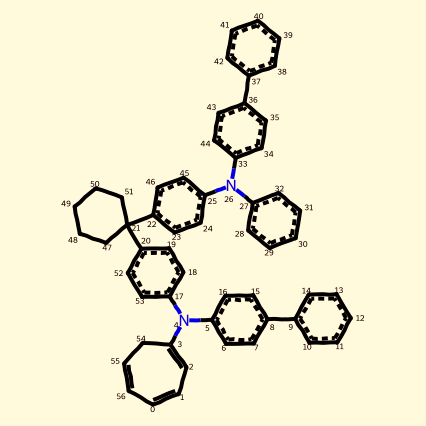 C1=CC=C(N(c2ccc(-c3ccccc3)cc2)c2ccc(C3(c4ccc(N(c5ccccc5)c5ccc(-c6ccccc6)cc5)cc4)CCCCC3)cc2)CC=C1